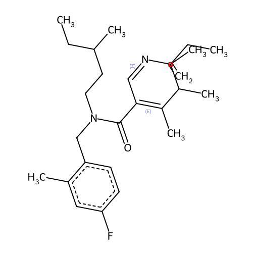 C=C(CC)/N=C\C(C(=O)N(CCC(C)CC)Cc1ccc(F)cc1C)=C(\C)C(C)CC